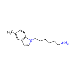 Cc1ccc2c(ccn2CCCCCCN)c1